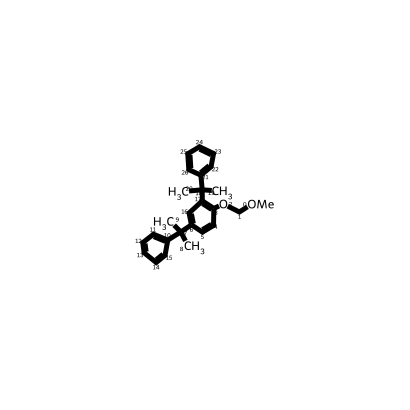 COCOc1ccc(C(C)(C)c2ccccc2)cc1C(C)(C)c1ccccc1